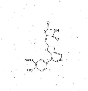 COc1cc(-c2cncc3cc(C=C4SC(=O)NC4=O)oc23)ccc1O